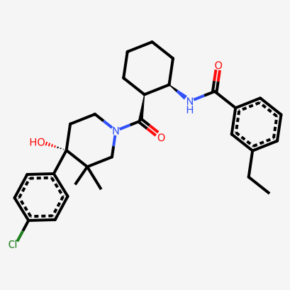 CCc1cccc(C(=O)N[C@@H]2CCCC[C@@H]2C(=O)N2CC[C@](O)(c3ccc(Cl)cc3)C(C)(C)C2)c1